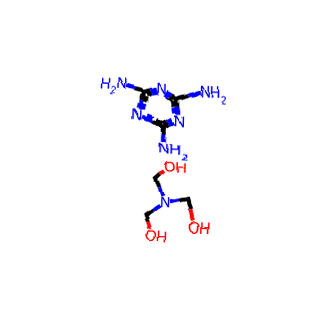 Nc1nc(N)nc(N)n1.OCN(CO)CO